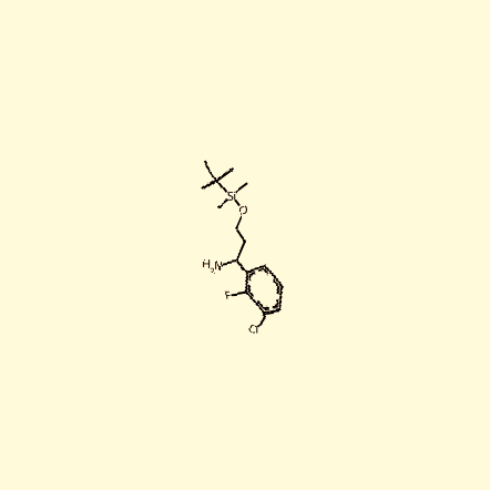 CC(C)(C)[Si](C)(C)OCCC(N)c1cccc(Cl)c1F